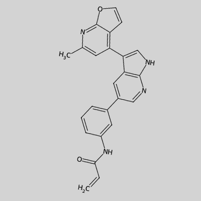 C=CC(=O)Nc1cccc(-c2cnc3[nH]cc(-c4cc(C)nc5occc45)c3c2)c1